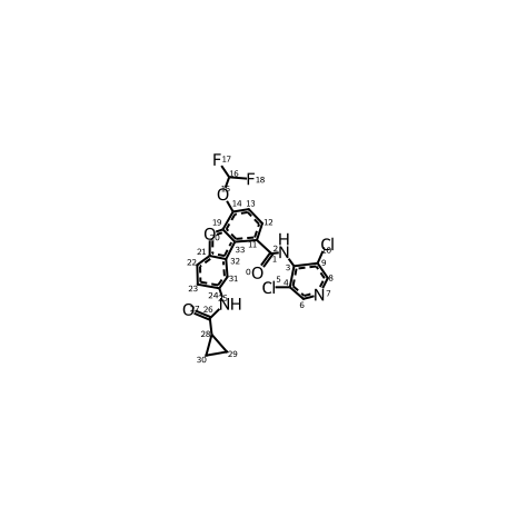 O=C(Nc1c(Cl)cncc1Cl)c1ccc(OC(F)F)c2oc3ccc(NC(=O)C4CC4)cc3c12